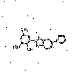 Cc1cc(-n2nc3ccc(-n4cccc4)cc3n2)c(O)c(C(C)(C)C)c1